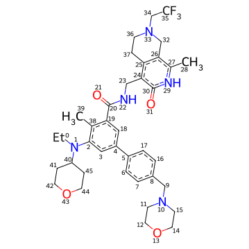 CCN(c1cc(-c2ccc(CN3CCOCC3)cc2)cc(C(=O)NCc2c3c(c(C)[nH]c2=O)CN(CC(F)(F)F)CC3)c1C)C1CCOCC1